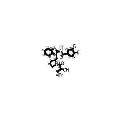 CC(C)/C=C(\C#N)C(=O)N1CCC[C@@H]1Cn1c(NC(=O)c2ccc(F)c(F)c2)nc2ccccc21